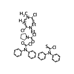 CCN(CC)C(=S)Cl.CN(C)C(=S)Cl.O=C(Cl)N(c1ccccc1)c1ccccc1.O=C(Cl)N1CCCC1.S=C(Cl)N(c1ccccc1)c1ccccc1